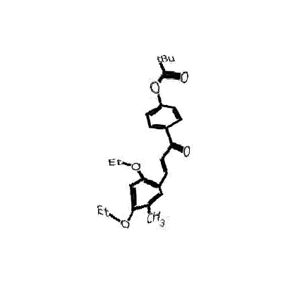 CCOc1cc(OCC)c(/C=C/C(=O)c2ccc(OC(=O)C(C)(C)C)cc2)cc1C